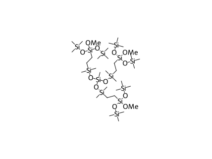 CO[Si](CC[Si](C)(C)O[Si](C)(O[Si](C)(C)CC[Si](OC)(O[Si](C)(C)C)O[Si](C)(C)C)O[Si](C)(C)CC[Si](OC)(O[Si](C)(C)C)O[Si](C)(C)C)(O[Si](C)(C)C)O[Si](C)(C)C